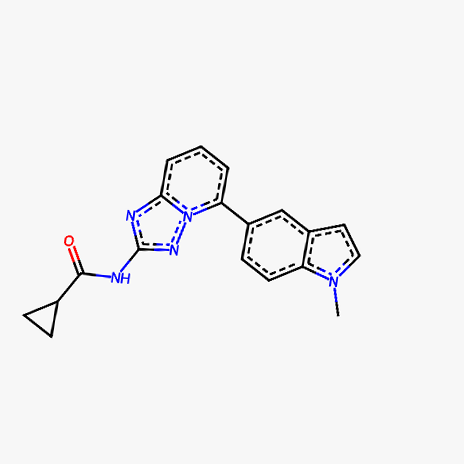 Cn1ccc2cc(-c3cccc4nc(NC(=O)C5CC5)nn34)ccc21